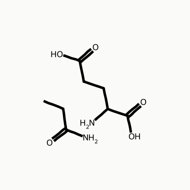 CCC(N)=O.NC(CCC(=O)O)C(=O)O